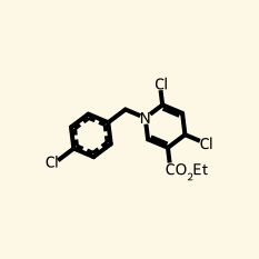 CCOC(=O)C1=CN(Cc2ccc(Cl)cc2)C(Cl)=CC1Cl